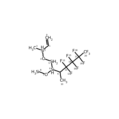 C=C[SiH](C)O[SiH2][SiH](O[SiH3])C(C)C(F)(F)C(F)(F)C(F)(F)C(F)(F)F